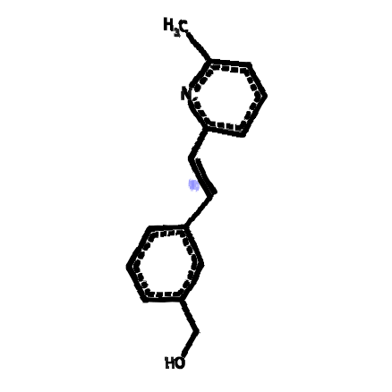 Cc1cccc(/C=C/c2cccc(CO)c2)n1